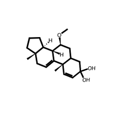 CO[C@H]1CC2CC(O)(O)C=C[C@]2(C)C2=CC[C@]3(C)CCC[C@H]3[C@@H]21